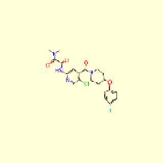 CN(C)C(=O)C(=O)Nc1cc(C(=O)N2CCC(Oc3ccc(F)cc3)CC2)c(Cl)cn1